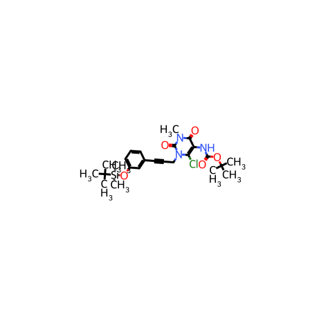 Cn1c(=O)c(NC(=O)OC(C)(C)C)c(Cl)n(CC#Cc2cccc(O[Si](C)(C)C(C)(C)C)c2)c1=O